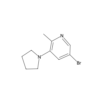 Cc1ncc(Br)cc1N1CCCC1